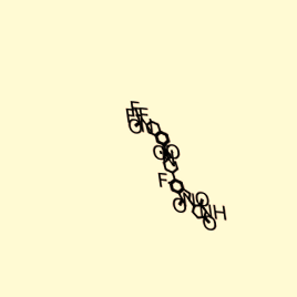 O=C1CCC(N2Cc3cc(C4CCN(S(=O)(=O)c5ccc6c(c5)CN(C(=O)C(F)(F)F)CC6)CC4)c(F)cc3C2=O)C(=O)N1